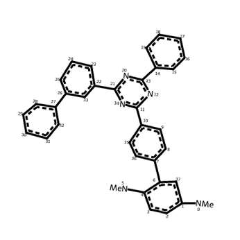 CNc1ccc(NC)c(-c2ccc(-c3nc(-c4ccccc4)nc(-c4cccc(-c5ccccc5)c4)n3)cc2)c1